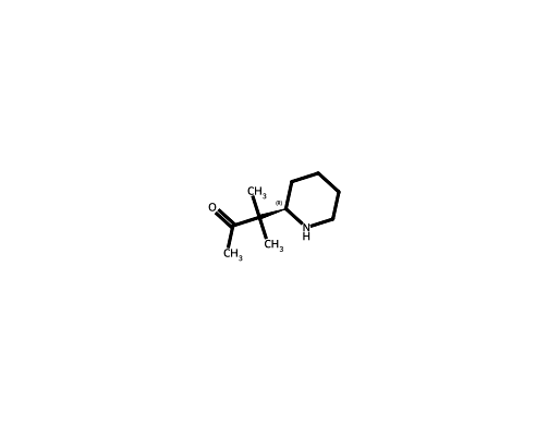 CC(=O)C(C)(C)[C@H]1CCCCN1